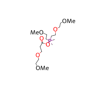 COCCOCCC(=O)OP(C)(C)(CCOC)CCOCCOC